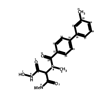 CNC(=O)C(C(=O)NO)N(C)C(=O)c1ccc(-c2cccc(C)c2)cc1